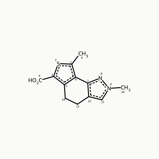 Cc1sc(C(=O)O)c2c1-c1nn(C)cc1CC2